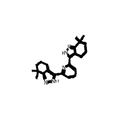 CC1(C)CCCc2c1n[nH]c2-c1cccc(-c2[nH]nc3c2CCCC3(C)C)n1